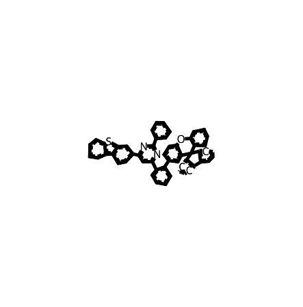 c1ccc(-c2nc(-c3ccc4c(c3)sc3ccccc34)cc(-c3ccccc3-c3ccc4c(c3)C3(c5ccccc5O4)c4ccccc4-c4ccccc43)n2)cc1